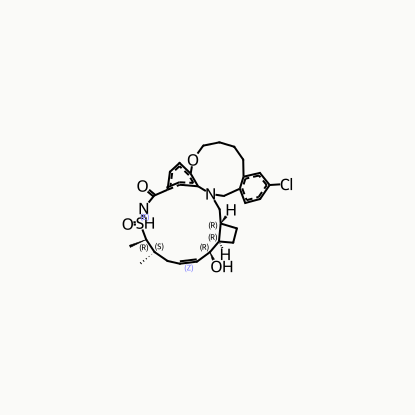 C[C@@H]1[C@@H](C)C/C=C\[C@H](O)[C@@H]2CC[C@H]2CN2Cc3ccc(Cl)cc3CCCCOc3ccc(cc32)C(=O)/N=[SH]\1=O